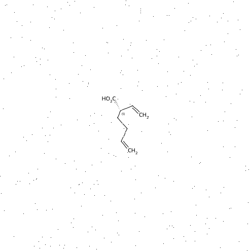 C=CCC[C@@H](C=C)C(=O)O